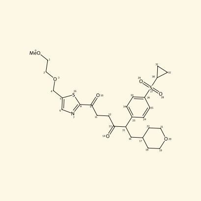 COCCOCc1cnc(C(=O)CCC(=O)C(CC2CCOCC2)c2ccc(S(=O)(=O)C3CC3)cc2)s1